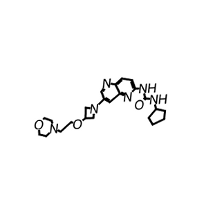 O=C(Nc1ccc2ncc(N3CC(OCCN4CCOCC4)C3)cc2n1)NC1CCCC1